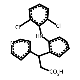 O=C(O)CC(c1ccncc1)c1ccccc1Nc1c(Cl)cccc1Cl